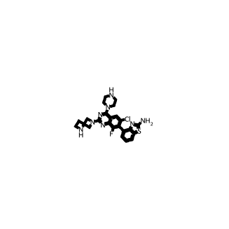 Nc1nc2c(-c3c(Cl)cc4c(N5CCNCC5)nc(N5CC6(CCN6)C5)nc4c3F)cccc2s1